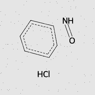 Cl.N=O.c1ccccc1